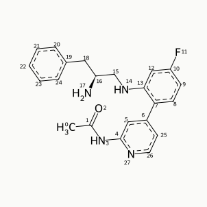 CC(=O)Nc1[c]c(-c2ccc(F)cc2NC[C@@H](N)Cc2ccccc2)ccn1